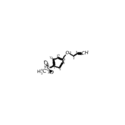 C#CCOc1ccc(S(C)(=O)=O)cc1